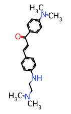 CN(C)CCNc1ccc(C=CC(=O)c2ccc(N(C)C)cc2)cc1